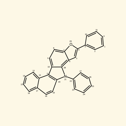 c1ccc(-c2cc3c(ccc4c5c6ccccc6ccc5n(-c5ccccc5)c34)o2)cc1